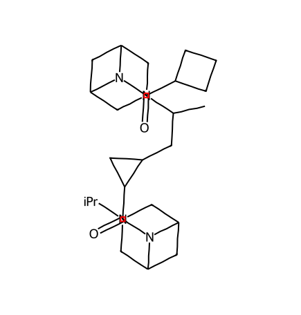 CC(C)N1CC2CC(C1)N2C(=O)C1CC1CC(C)N1CC2CC(C1)N2C(=O)C1CCC1